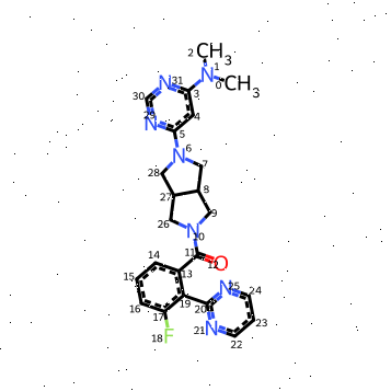 CN(C)c1cc(N2CC3CN(C(=O)c4cccc(F)c4-c4ncccn4)CC3C2)ncn1